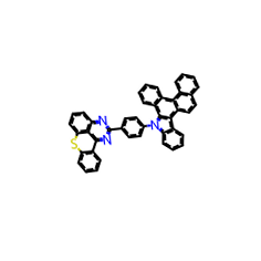 c1ccc2c(c1)Sc1cccc3nc(-c4ccc(-n5c6ccccc6c6c7ccc8ccccc8c7c7ccccc7c65)cc4)nc-2c13